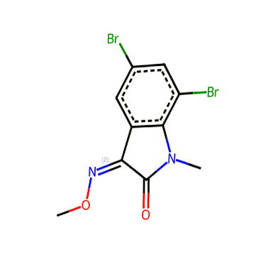 CO/N=C1\C(=O)N(C)c2c(Br)cc(Br)cc21